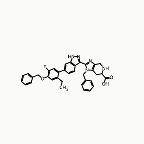 CCc1cc(OCc2ccccc2)c(F)cc1-c1ccc2c(-c3nc4c(n3Cc3ccccc3)CC(C(=O)O)NC4)n[nH]c2c1